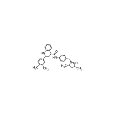 Cc1ccc(C2CC(C(=O)Nc3ccc(CN4NC(C)CC4C)cc3)c3ccccc3N2)cc1C